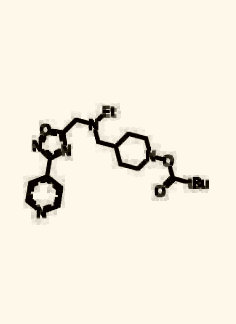 CCN(Cc1nc(-c2ccncc2)no1)CC1CCN(OC(=O)C(C)(C)C)CC1